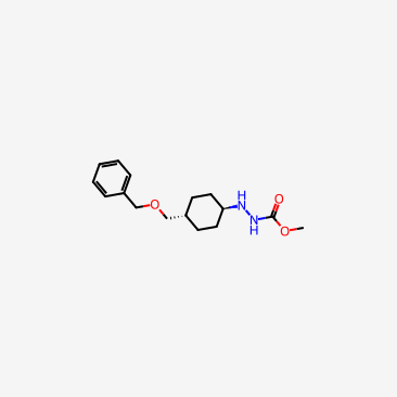 COC(=O)NN[C@H]1CC[C@H](COCc2ccccc2)CC1